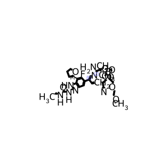 C=C/C(=C\N=C(/N)C(C)(C)OP(=O)(OCCC#N)OCCOCCOC)c1cc2nc(NC(=O)NCC)[nH]c2c([C@H]2CCCO2)c1F